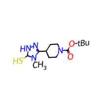 CN1C(C2CCN(C(=O)OC(C)(C)C)CC2)=NNC1S